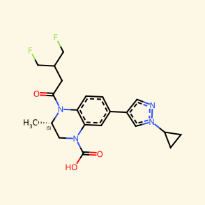 C[C@H]1CN(C(=O)O)c2cc(-c3cnn(C4CC4)c3)ccc2N1C(=O)CC(CF)CF